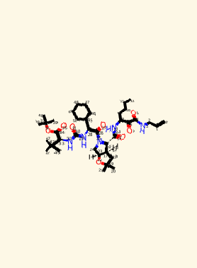 C=CCNC(=O)C(=O)C(CCCC)NC(=O)[C@@H]1[C@H]2CC(C)(C)O[C@H]2CN1C(=O)[C@@H](NC(=O)N[C@H](C(=O)OC(C)(C)C)C(C)(C)C)C1CCCCC1